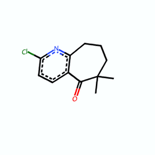 CC1(C)CCCc2nc(Cl)ccc2C1=O